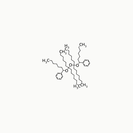 CCCCCCCC(CCCCCC)(OC(CCCCCC)c1ccccc1)OC(CCCCCC)(CCCCCCC)OC(CCCCCC)c1ccccc1